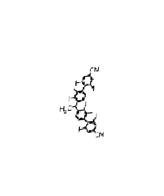 CC(c1ccc(-c2c(I)cc(C#N)cc2I)c(I)c1I)c1ccc(-c2c(I)cc(C#N)cc2I)c(I)c1I